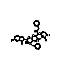 O=C(NCc1ccccc1)C(=O)C(C[C@@H]1CCCNC1=O)NC(=O)[C@H](Cc1ccccc1)NC(=O)C1Cc2ccc(F)cc2N1